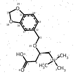 C[N+](C)(C)C[C@@H](CC(=O)O)OCc1ccc2c(c1)OCO2